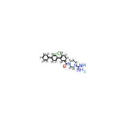 N=C(N)N1CCCN(C(=O)c2ccc(Cl)c(-c3ccc(-c4ccccc4)cc3)c2)CC1